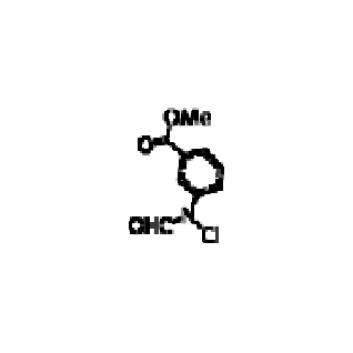 COC(=O)c1cccc(N(Cl)C=O)c1